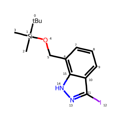 CC(C)(C)[Si](C)(C)OCc1cccc2c(I)n[nH]c12